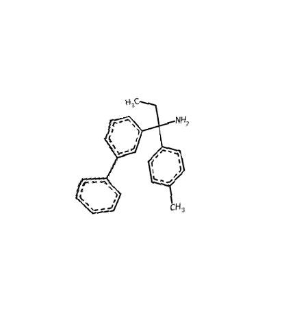 CCC(N)(c1ccc(C)cc1)c1cccc(-c2ccccc2)c1